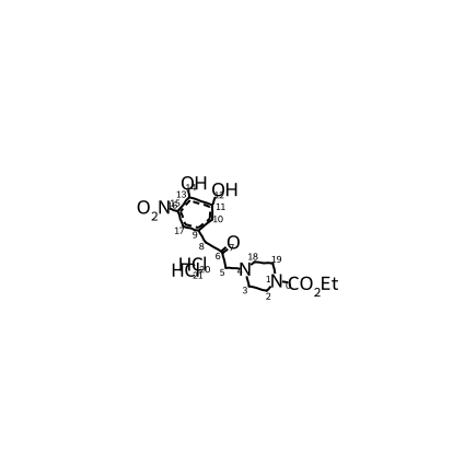 CCOC(=O)N1CCN(CC(=O)Cc2cc(O)c(O)c([N+](=O)[O-])c2)CC1.Cl.Cl